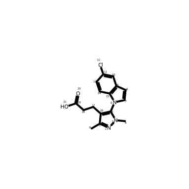 Cc1nn(C)c(-n2ccc3cc(Cl)ccc32)c1CCC(=O)O